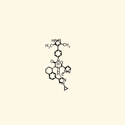 Cc1n[nH]c(C)c1-c1ccc(NC(=O)C(NC(=O)c2ccnn2C)[C@@H]2CCCc3ccc(-c4cnn(C5CC5)c4)cc32)cc1